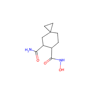 NC(=O)C1CC2(CCC1C(=O)NO)CC2